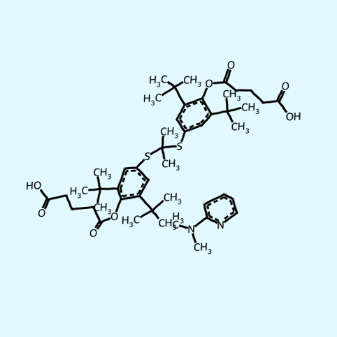 CC(C)(Sc1cc(C(C)(C)C)c(OC(=O)CCCC(=O)O)c(C(C)(C)C)c1)Sc1cc(C(C)(C)C)c(OC(=O)CCCC(=O)O)c(C(C)(C)C)c1.CN(C)c1ccccn1